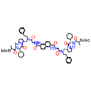 CN[C@@H](C)C(=O)N[C@H](C(=O)N1CCC[C@H]1CN(CCc1ccccc1)C(=O)CNC(=O)c1ccc2cc(C(=O)NCC(=O)N(CCc3ccccc3)C[C@@H]3CCCN3C(=O)[C@@H](NC(=O)[C@H](C)NC)C3CCCCC3)ccc2c1)C1CCCCC1